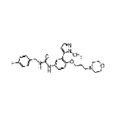 Cn1nccc1-c1cc(NC(=O)NCc2ccc(F)cc2)ccc1OCCCN1CCOCC1